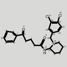 O=C(CCCC(=O)c1ccccc1)NC1CCCCN1Cc1ccc(Cl)c(Cl)c1